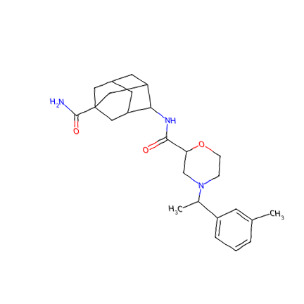 Cc1cccc(C(C)N2CCOC(C(=O)NC3C4CC5CC3CC(C(N)=O)(C5)C4)C2)c1